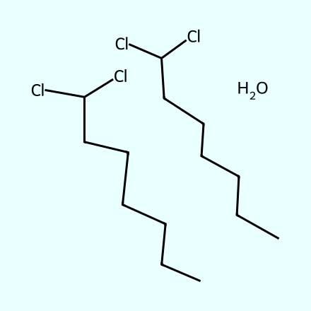 CCCCCCC(Cl)Cl.CCCCCCC(Cl)Cl.O